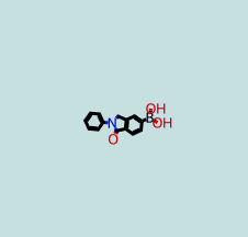 O=C1c2ccc(B(O)O)cc2CN1c1ccccc1